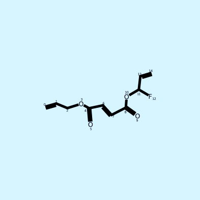 C=CCOC(=O)/C=C/C(=O)OC(F)C=C